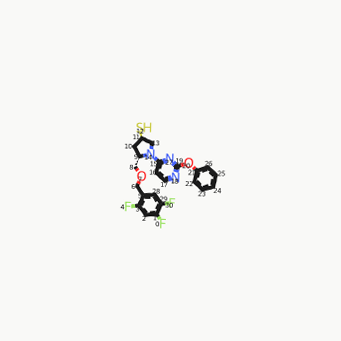 Fc1cc(F)c(COC[C@@H]2C[C@@H](S)CN2c2ccnc(Oc3ccccc3)n2)cc1F